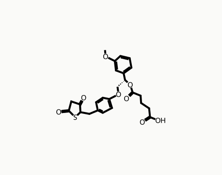 COc1cccc([C@@H](COc2ccc(CC3SC(=O)CC3=O)cc2)OC(=O)CCCC(=O)O)c1